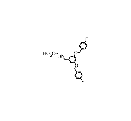 O=C(O)CON=Cc1cc(OCc2ccc(F)cc2)cc(OCc2ccc(F)cc2)c1